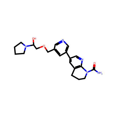 NC(=O)N1CCCc2cc(-c3cncc(COCC(O)N4CCCC4)c3)cnc21